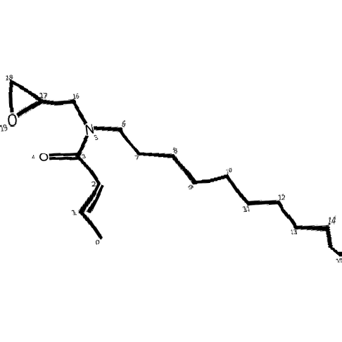 C/C=C/C(=O)N(CCCCCCCCCC)CC1CO1